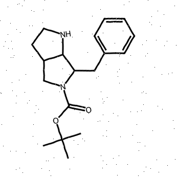 CC(C)(C)OC(=O)N1CC2CCNC2C1Cc1ccccc1